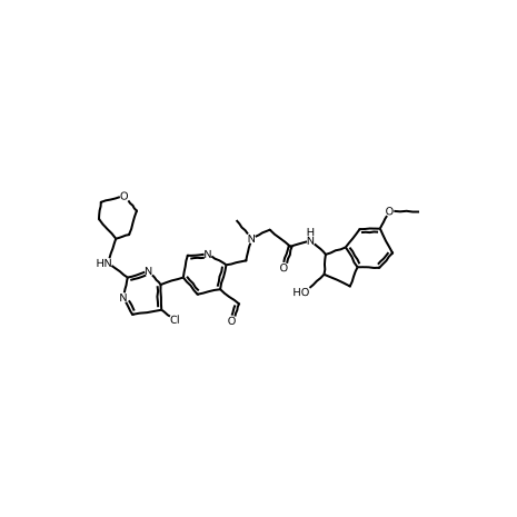 COc1ccc2c(c1)C(NC(=O)CN(C)Cc1ncc(-c3nc(NC4CCOCC4)ncc3Cl)cc1C=O)C(O)C2